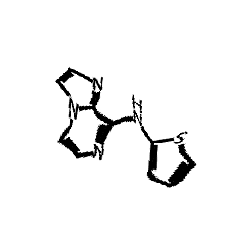 c1csc(Nc2nccn3ccnc23)c1